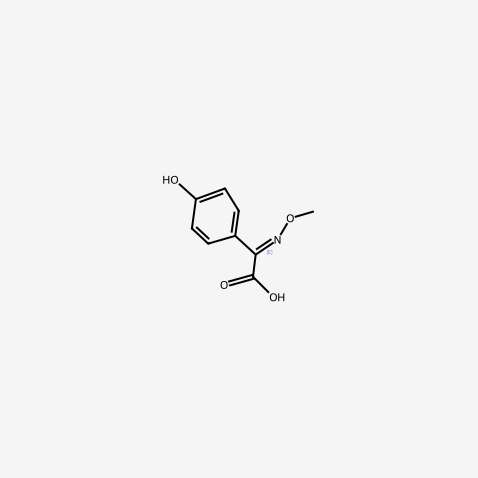 CO/N=C(/C(=O)O)c1ccc(O)cc1